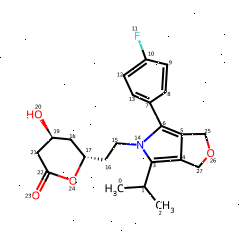 CC(C)c1c2c(c(-c3ccc(F)cc3)n1CC[C@H]1C[C@H](O)CC(=O)O1)COC2